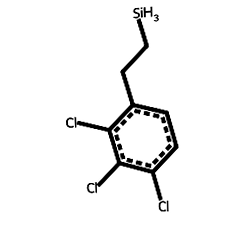 [SiH3]CCc1ccc(Cl)c(Cl)c1Cl